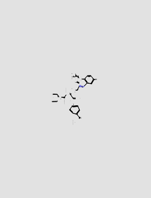 O=C(/C=C/c1cc(Cl)ccc1-n1cnnn1)N[C@@H](CC(=O)N1CCOCC1)C(=O)Nc1ccc(C(=O)O)cc1